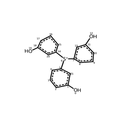 Oc1cccc([S+](c2cccc(O)c2)c2cccc(O)c2)c1